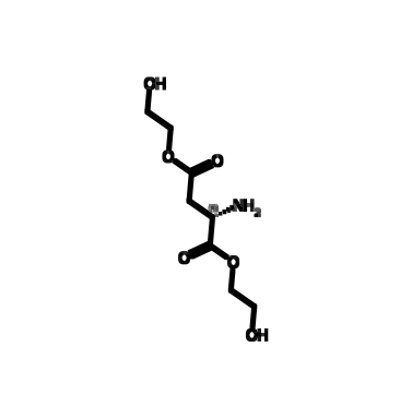 N[C@@H](CC(=O)OCCO)C(=O)OCCO